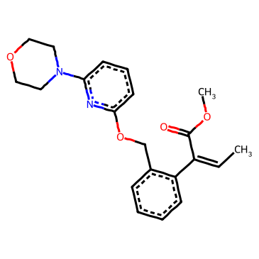 CC=C(C(=O)OC)c1ccccc1COc1cccc(N2CCOCC2)n1